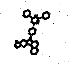 c1ccc(-c2cc(-c3ccc(-n4c5cc6sccc6cc5c5c6ccccc6ccc54)cc3)nc(-c3ccccc3)n2)cc1